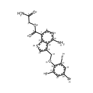 NC(=O)COC(=O)c1cnc(N)c2c(COc3c(F)cc(Br)cc3F)csc12